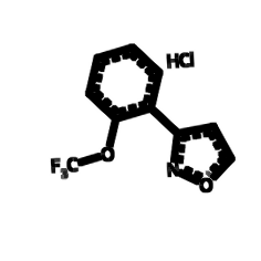 Cl.FC(F)(F)Oc1ccccc1-c1ccon1